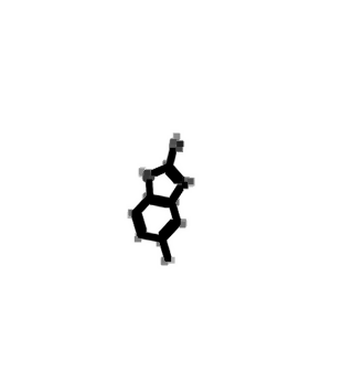 [CH2]c1ccc2oc(CC)nc2c1